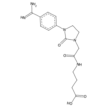 N=C(N)c1ccc(N2CCN(CC(=O)NCCCC(=O)O)C2=O)cc1